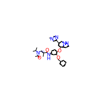 CC(=O)N(/C=C(\C)C(=O)Nc1ccc(Oc2cc(-c3cn(C)cn3)cn3nccc23)c(OCc2ccccc2)c1)C(C)C